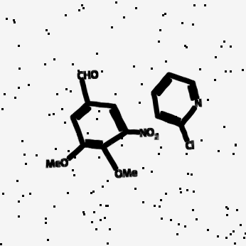 COc1cc(C=O)cc([N+](=O)[O-])c1OC.Clc1ccccn1